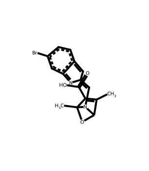 CC1=C(C(=O)O)C2(C)OC1N2/C=C1/C=c2ccc(Br)cc2=N1